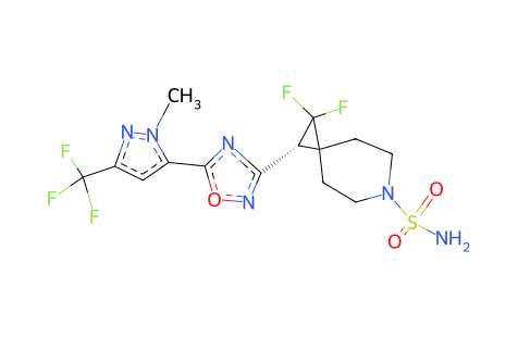 Cn1nc(C(F)(F)F)cc1-c1nc([C@@H]2C(F)(F)C23CCN(S(N)(=O)=O)CC3)no1